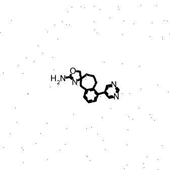 NC1=NC2(CCCc3c(cccc3-c3cncnc3)C2)CO1